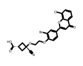 N#C[C@]1(OCCOc2ccc(-c3cc(=O)c4cccc(Cl)c4o3)cc2Br)C[C@@H](C(=O)O)C1